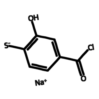 O=C(Cl)c1ccc([S-])c(O)c1.[Na+]